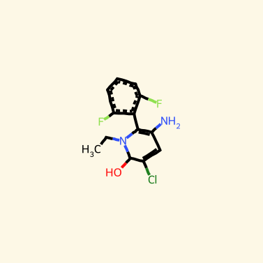 CCN1C(c2c(F)cccc2F)=C(N)C=C(Cl)C1O